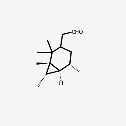 C[C@H]1CC(CC=O)C(C)(C)[C@]2(C)[C@@H]1[C@@H]2C